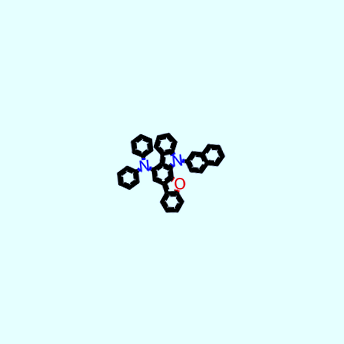 c1ccc(N(c2ccccc2)c2cc3c4ccccc4oc3c3c2c2ccccc2n3-c2ccc3ccccc3c2)cc1